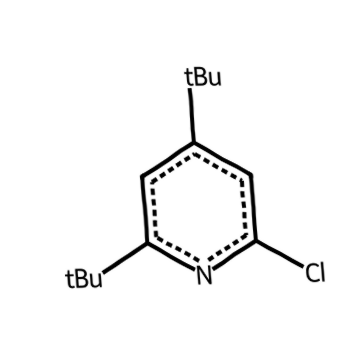 CC(C)(C)c1cc(Cl)nc(C(C)(C)C)c1